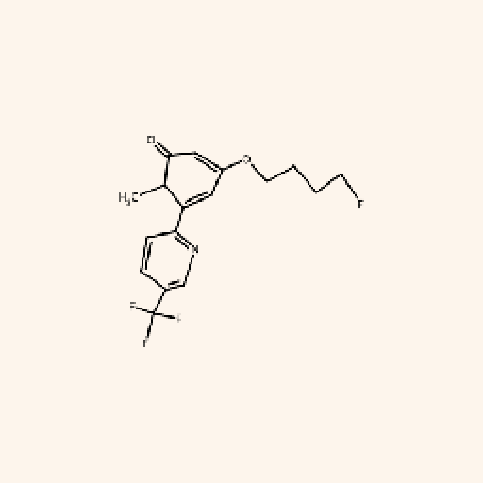 CC1C(=O)C=C(OCCCCF)C=C1c1ccc(C(F)(F)F)cn1